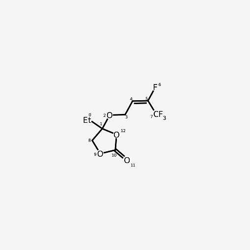 CCC1(OC/C=C(/F)C(F)(F)F)COC(=O)O1